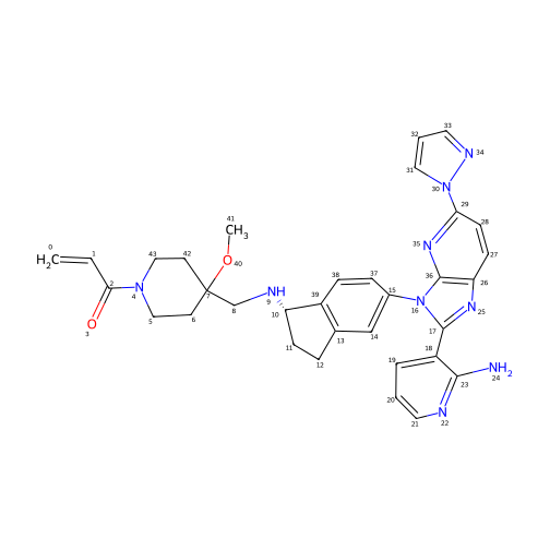 C=CC(=O)N1CCC(CN[C@H]2CCc3cc(-n4c(-c5cccnc5N)nc5ccc(-n6cccn6)nc54)ccc32)(OC)CC1